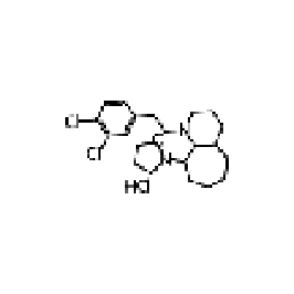 Cl.O=C(Cc1ccc(Cl)c(Cl)c1)N1CCCC2CCCCC(N3CCCC3)C21